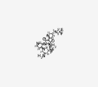 Nc1oc2cc(CN3CC(F)(F)C3)cnc2c1C(=O)Nc1cnccc1N1C[C@H](N)C[C@H](C(F)(F)F)C1